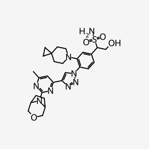 Cc1cc(-c2cn(-c3ccc(C(CO)S(N)(=O)=O)cc3N3CCC4(CC3)CC4)nn2)nc(N2C3CCC2COC3)n1